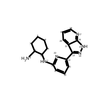 NC1CCCCC1Nc1cccc(-c2n[nH]c3ncccc23)n1